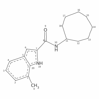 Cc1cccc2cc(C(=O)NC3CCCCCCC3)[nH]c12